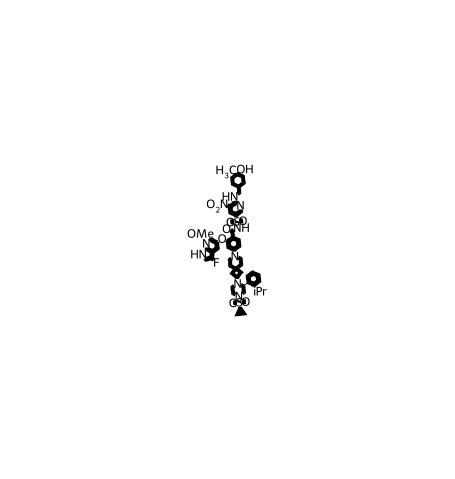 COc1nc2[nH]cc(F)c2cc1Oc1cc(N2CCC3(CC2)CC(N2CCN(S(=O)(=O)C4CC4)C[C@H]2c2ccccc2C(C)C)C3)ccc1C(=O)NS(=O)(=O)c1cnc(NCC2CCC(C)(O)CC2)c([N+](=O)[O-])c1